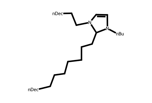 CCCCCCCCCCCCCCCCCC1N(CCCC)C=CN1CCCCCCCCCCCC